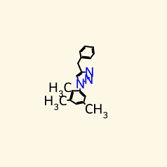 Cc1cc(C)c(C)c(-n2cc(Cc3ccccc3)nn2)c1